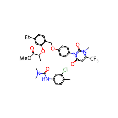 CCc1ccc(COc2ccc(-n3c(=O)cc(C(F)(F)F)n(C)c3=O)cc2)c(OC(C)C(=O)OC)c1.Cc1ccc(NC(=O)N(C)C)cc1Cl